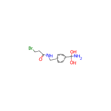 NC(O)(O)c1ccc(CNC(=O)CCBr)cc1